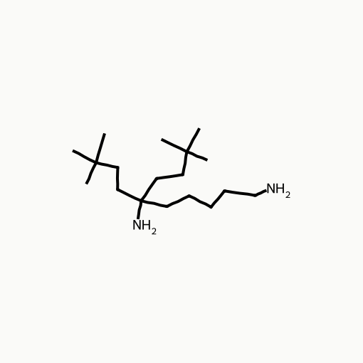 CC(C)(C)CCC(N)(CCCCCN)CCC(C)(C)C